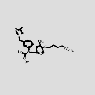 CCCCCCCCCCCCCCOc1ccc(CN(C(=O)CC)c2cccc(C[n+]3csc(C)c3)c2)cc1C(C)(C)C.[Br-]